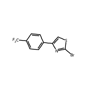 FC(F)(F)c1ccc(-c2csc(Br)n2)cc1